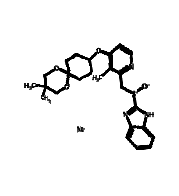 Cc1c(OC2CCC3(CC2)OCC(C)(C)CO3)ccnc1C[S+]([O-])c1nc2ccccc2[nH]1.[Na]